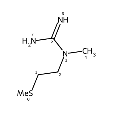 CSCCN(C)C(=N)N